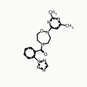 Cc1cc(N2CCN(C(=O)c3ccccc3-n3ncnn3)CCO2)nc(C)n1